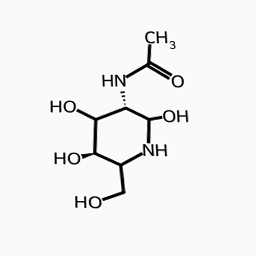 CC(=O)N[C@@H]1C(O)NC(CO)[C@@H](O)C1O